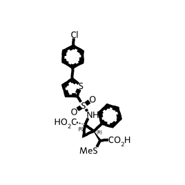 CSC(C(=O)O)[C@@]1(c2ccccc2)C[C@]1(NS(=O)(=O)c1ccc(-c2ccc(Cl)cc2)s1)C(=O)O